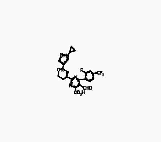 O=Cc1c(C(=O)O)nc(C2=C[C@H](c3cnn(C4CC4)c3)OCC2)nc1-c1ccc(C(F)(F)F)cc1F